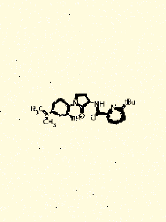 CCC[C@H]1C[C@H](N(C)C)CC[C@@H]1N1CC[C@H](NC(=O)c2cccc(C(C)(C)C)n2)C1=O